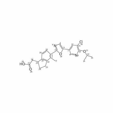 Cc1c(-c2ncc(-c3cnc(OC(C)C)c(Cl)c3)o2)ccc2c1CCC2CC(=O)O